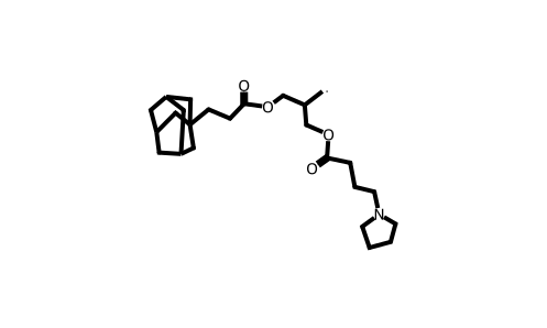 [CH2]C(COC(=O)CCCN1CCCC1)COC(=O)CCC12CC3CC(CC(C3)C1)C2